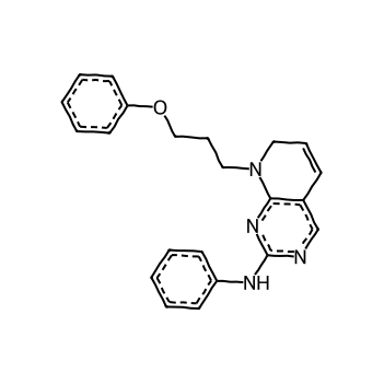 C1=Cc2cnc(Nc3ccccc3)nc2N(CCCOc2ccccc2)C1